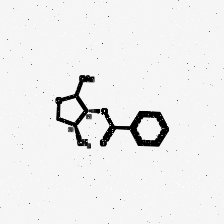 CC(=O)OC1OC[C@H](C)[C@H]1OC(=O)c1ccccc1